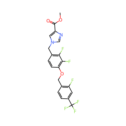 COC(=O)c1cn(Cc2ccc(OCc3ccc(C(F)(F)F)cc3F)c(F)c2F)cn1